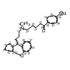 CN(CC/C=C1/c2ccccc2COc2ccccc21)CCCCC(=O)c1ccc(C(C)(C)C)cc1